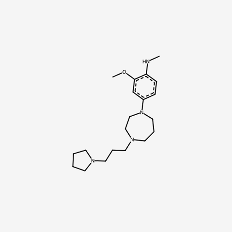 CNc1ccc(N2CCCN(CCCN3CCCC3)CC2)cc1OC